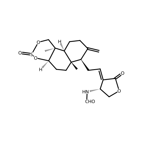 C=C1CC[C@@H]2[C@]3(C)COS(=O)O[C@@H]3CC[C@@]2(C)[C@@H]1C/C=C1/C(=O)OC[C@@H]1NC=O